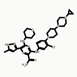 CCc1cc(Nc2nc(NC3CCOCC3)c(-c3cc(C)[nH]n3)nc2C(N)=O)ccc1N1CCC(N2CCN(C3CC3)CC2)CC1